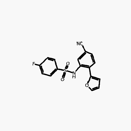 N#Cc1ccc(-c2ccco2)c(NS(=O)(=O)c2ccc(F)cc2)c1